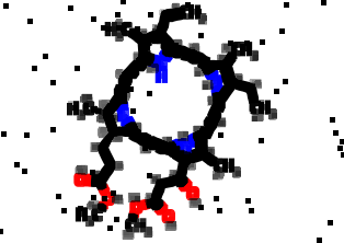 C=Cc1c(C)c2cc3nc(cc4[nH]c(cc5nc(cc1[nH]2)C(C)=C5CC)c(C)c4C(=O)CC(=O)OC)[C@@H](CCC(=O)OC)[C@@H]3C